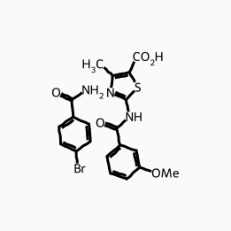 COc1cccc(C(=O)Nc2nc(C)c(C(=O)O)s2)c1.NC(=O)c1ccc(Br)cc1